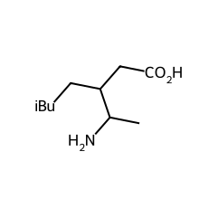 CCC(C)CC(CC(=O)O)C(C)N